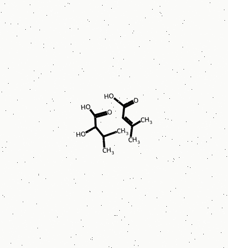 CC(C)=CC(=O)O.CC(C)C(O)C(=O)O